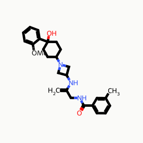 C=C(CNC(=O)c1cccc(C)c1)NC1CN(C2CCC(O)(c3ccccc3OC)CC2)C1